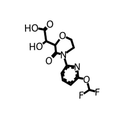 O=C(O)C(O)C1OCCN(c2cccc(OC(F)F)n2)C1=O